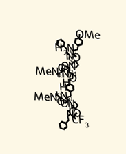 CN[C@@H](C)C(=O)N[C@@H](Cc1ccc(CO[C@H](C)[C@H](NC(=O)[C@H](C)NC)C(=O)N2CCC[C@H]2CN(CCc2ccccc2)C(=O)[C@H](N)Cc2ccc(OC)cc2)cc1)C(=O)N1CCC[C@H]1CN(CCc1ccccc1)C(=O)C(F)(F)F